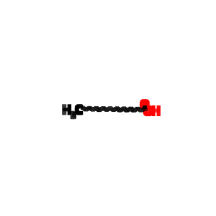 CCCCC/C=C/CCCC/C=C/C=C/C=C/CCC(=O)O